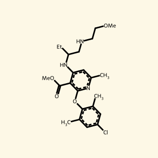 CCC(CNCCOC)Nc1cc(C)nc(Oc2c(C)cc(Cl)cc2C)c1C(=O)OC